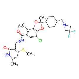 CSc1cc(C)[nH]c(=O)c1CNC(=O)c1cc(Cl)c2c(c1C)OC(C)(C1CCC(CN3CC(F)(F)C3)CC1)O2